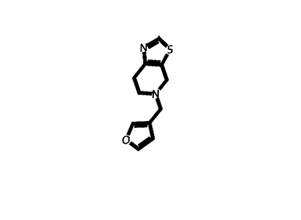 [c]1nc2c(s1)CN(Cc1ccoc1)CC2